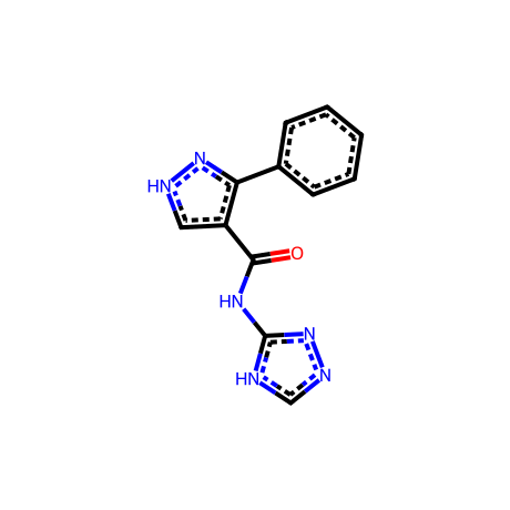 O=C(Nc1nnc[nH]1)c1c[nH]nc1-c1ccccc1